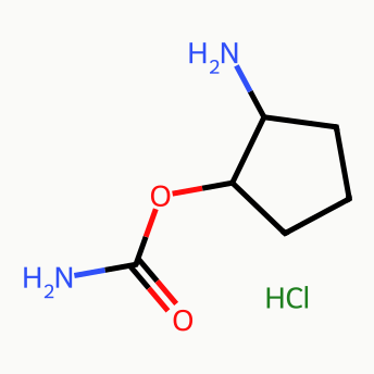 Cl.NC(=O)OC1CCCC1N